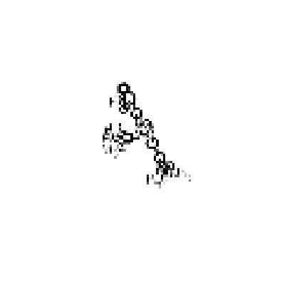 Cc1cc(C[C@@H](OC(=O)N2CCC(N3CCc4ccccc4NC3=O)CC2)C(=O)N2CCC(C3CCN(S(=O)(=O)N(C)C)CC3)CC2)cc(C)c1O